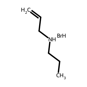 Br.C=CCNCCC